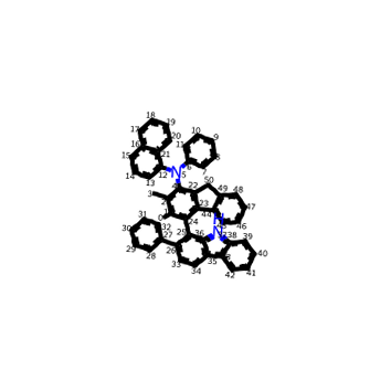 Cc1c(C)c(N(c2ccccc2)c2cccc3ccccc23)c2c(c1-c1c(-c3ccccc3)ccc3c1[nH]c1ccccc13)-c1ccccc1C2